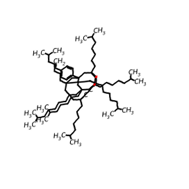 C=Cc1ccc(C23CC4(CCCCCC(C)C)CC5(CCCCCC(C)C)CC6(CCCCCC(C)C)CC(CCCCCC(C)C)(C4)CC(CCCCCC(C)C)(CC(CCCCCC(C)C)(C6)CC(CCCCCC(C)C)(C5)C2)C3)cc1